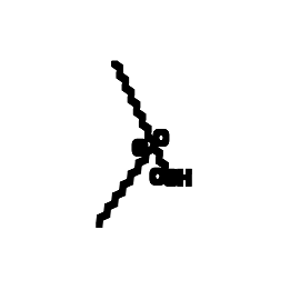 CCCCCCCCCCCCCC(=O)C(CCCC(=O)O)C(=O)CCCCCCCCCCCCC